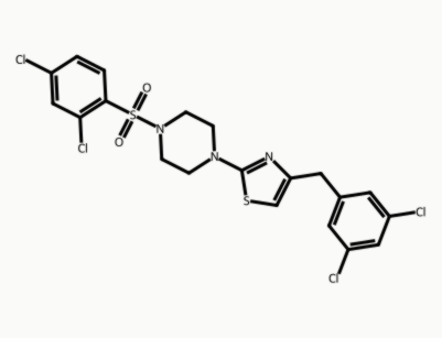 O=S(=O)(c1ccc(Cl)cc1Cl)N1CCN(c2nc(Cc3cc(Cl)cc(Cl)c3)cs2)CC1